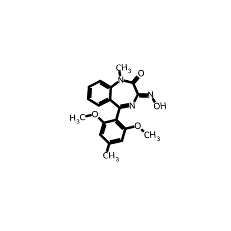 COc1cc(C)cc(OC)c1-c1nc(=NO)c(=O)n(C)c2ccccc12